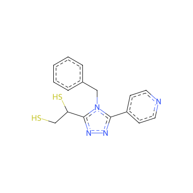 SCC(S)c1nnc(-c2ccncc2)n1Cc1ccccc1